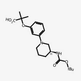 CC(C)(C)OC(=O)N[C@H]1CCCN(c2cccc(OC(C)(C)C(=O)O)c2)C1